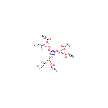 C=CC(=O)OCC(COC(=O)C=C)OOc1nc(OOC(COC(=O)C=C)COC(=O)C=C)nc(OOC(COC(=O)C=C)COC(=O)C=C)n1